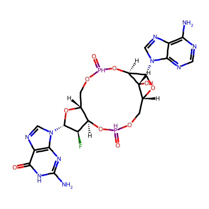 Nc1nc2c(ncn2[C@@H]2O[C@@H]3CO[PH](=O)O[C@@H]4[C@H](O)[C@@H](CO[PH](=O)O[C@H]3[C@H]2F)O[C@H]4n2cnc3c(N)ncnc32)c(=O)[nH]1